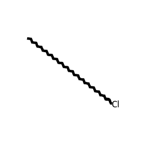 CCCCCCCCCCCCCCCCCCCCCCCCCCCCCCC=CCCl